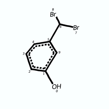 Oc1cccc(C(Br)Br)c1